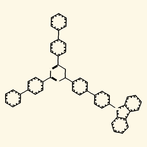 c1ccc(-c2ccc(C3=NC(c4ccc(-c5ccccc5)cc4)=NC(c4ccc(-c5ccc(-n6c7ccccc7c7ccccc76)cc5)cc4)C3)cc2)cc1